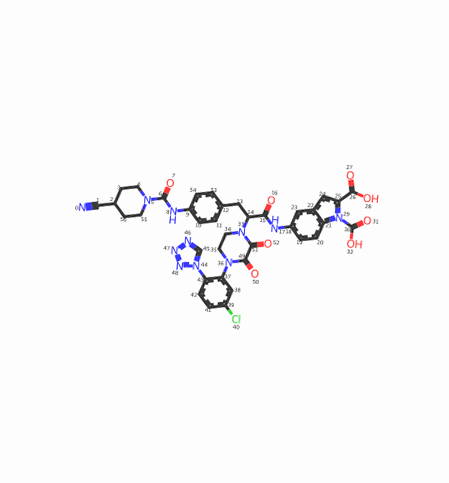 N#CC1CCN(C(=O)Nc2ccc(CC(C(=O)Nc3ccc4c(c3)cc(C(=O)O)n4C(=O)O)N3CCN(c4cc(Cl)ccc4-n4cnnn4)C(=O)C3=O)cc2)CC1